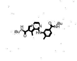 CC[C@@H](C)NC(=O)c1ccc(C)c(Nc2nccn3cc(C(=O)N[C@@H](C)CC)c(C)c23)c1